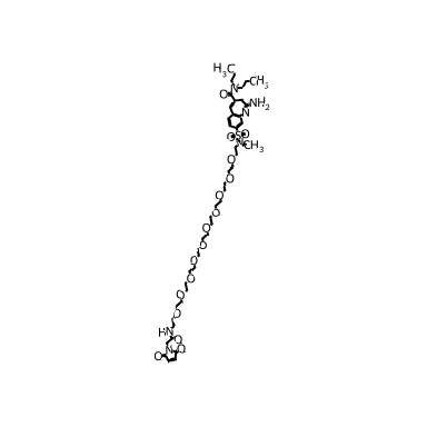 CCCN(CCC)C(=O)C1=Cc2ccc(S(=O)(=O)N(C)CCOCCOCCOCCOCCOCCOCCOCCOCCOCCOCCNC(=O)CN3C(=O)C=CC3=O)cc2N=C(N)C1